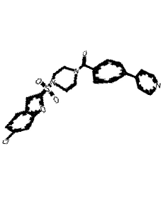 O=C(c1ccc(-c2ccncc2)cc1)N1CCN(S(=O)(=O)c2cc3ccc(Cl)cc3o2)CC1